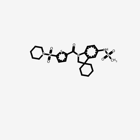 CS(=O)(=O)Nc1ccc2c(c1)C1(CCCCC1)CN2C(=O)c1ccc(S(=O)(=O)N2CCCCC2)s1